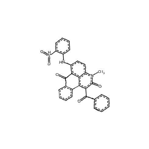 Cn1c(=O)c(C(=O)c2ccccc2)c2c3c(c(Nc4ccccc4[SH](=O)=O)ccc31)C(=O)c1ccccc1-2